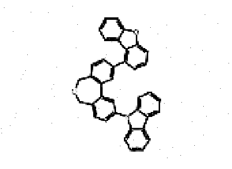 c1ccc2c(c1)oc1cccc(-c3ccc4c(c3)-c3cc(-n5c6ccccc6c6ccccc65)ccc3COC4)c12